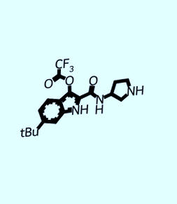 CC(C)(C)c1ccc2c(OC(=O)C(F)(F)F)c(C(=O)NC3CCNC3)[nH]c2c1